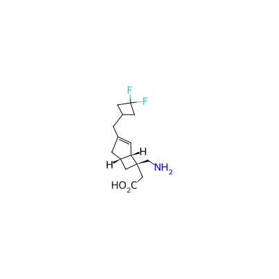 NC[C@@]1(CC(=O)O)C[C@@H]2CC(CC3CC(F)(F)C3)=C[C@@H]21